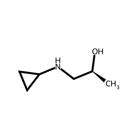 C[C@H](O)CNC1CC1